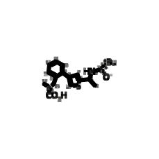 CC(N[S+]([O-])C(C)(C)C)c1cc(-c2ccccc2CN(C)C(=O)O)cs1